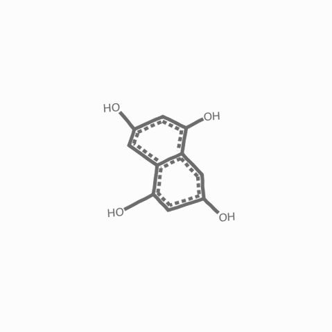 Oc1cc(O)c2cc(O)cc(O)c2c1